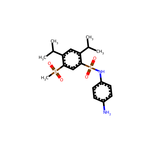 CC(C)c1cc(C(C)C)c(S(=O)(=O)Nc2ccc(N)cc2)cc1S(C)(=O)=O